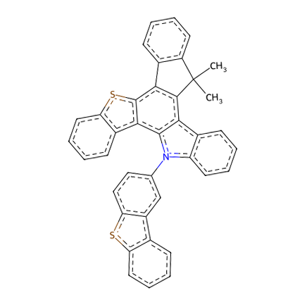 CC1(C)c2ccccc2-c2c1c1c3ccccc3n(-c3ccc4sc5ccccc5c4c3)c1c1c2sc2ccccc21